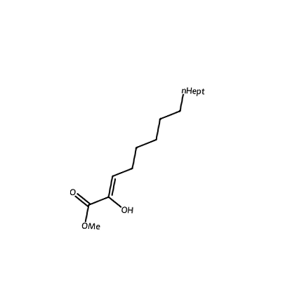 CCCCCCCCCCCCC=C(O)C(=O)OC